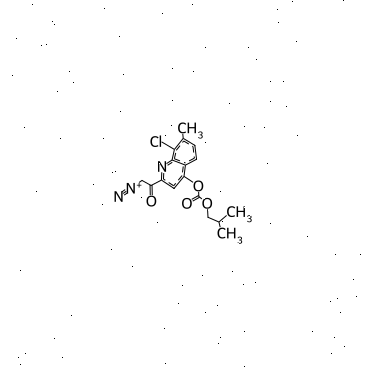 Cc1ccc2c(OC(=O)OCC(C)C)cc(C(=O)C[N+]#N)nc2c1Cl